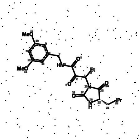 CCC(C(=O)C(=O)NCc1cc(OC)cc(OC)c1)N1C(=O)N[C@@H](CC(C)C)C1=O